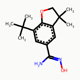 CC(C)(C)c1cc(C(N)=NO)cc2c1OCC2(C)C